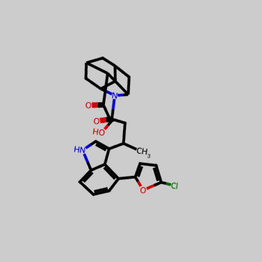 CC(CC(=O)N1C2CC3CC(C2)C(C(=O)CO)C1C3)c1c[nH]c2cccc(-c3ccc(Cl)o3)c12